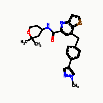 Cn1cc(-c2ccc(Cc3cc(C(=O)NC4CCOC(C)(C)C4)nc4ccsc34)cc2)cn1